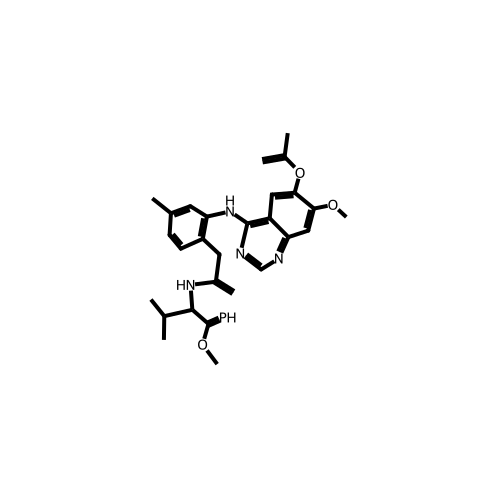 C=C(Cc1ccc(C)cc1Nc1ncnc2cc(OC)c(OC(=C)C)cc12)NC(C(=P)OC)C(C)C